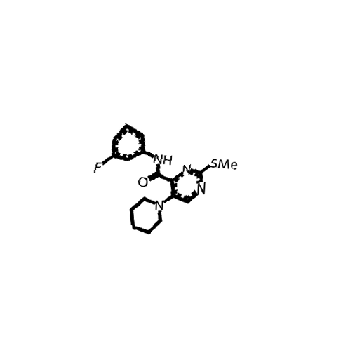 CSc1ncc(N2CCCCC2)c(C(=O)Nc2cccc(F)c2)n1